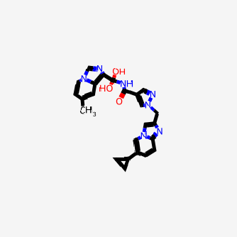 Cc1ccn2cnc(C(O)(O)NC(=O)c3cnn(Cc4cn5cc(C6CC6)ccc5n4)c3)c2c1